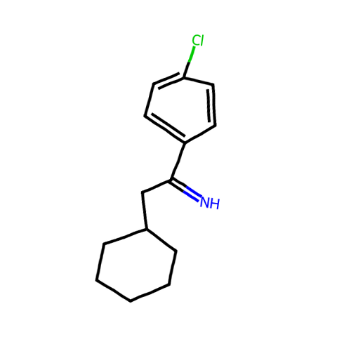 N=C(CC1CCCCC1)c1ccc(Cl)cc1